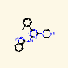 Cc1ccccc1-c1nc(Nc2n[nH]c3ccccc23)nc(N2CCNCC2)n1